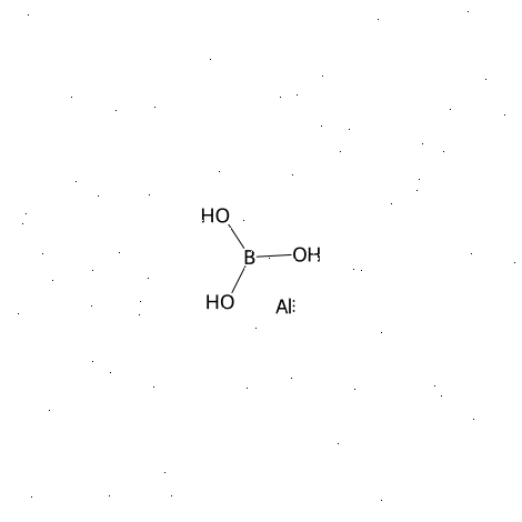 OB(O)O.[Al]